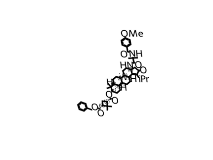 COc1ccc(C(=O)NC(C)(C)C(=O)N[C@@]23CC[C@]4(C)[C@H](CC[C@@H]5[C@@]6(C)CC[C@H](OC(=O)[C@H]7C[C@@H](C(=O)OCc8ccccc8)C7(C)C)C(C)(C)[C@@H]6CC[C@]54C)C2=C(C(C)C)C(=O)C3)cc1